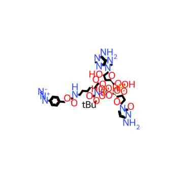 CC(C)(C)OC(=O)N[C@H](CCCCNC(=O)OCc1ccc(N=[N+]=[N-])cc1)C(=O)O[C@H]1[C@@H](O)[C@H](n2cnc3c(N)ncnc32)O[C@H]1COP(=O)(O)O[C@H]1C[C@H](n2ccc(N)nc2=O)O[C@@H]1COP(=O)(O)O